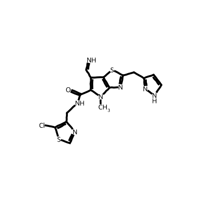 Cn1c(C(=O)NCc2ncsc2Cl)c(C=N)c2sc(Cc3cc[nH]n3)nc21